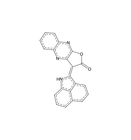 O=C1Oc2nc3ccccc3nc2C1=c1[nH]c2cccc3cccc1c32